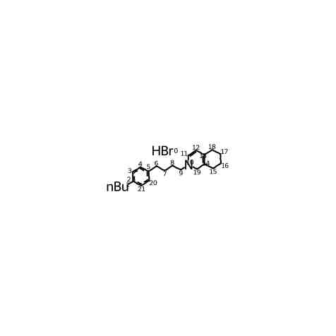 Br.CCCCc1ccc(CCCCN2C=CC3=C(CCCC3)C2)cc1